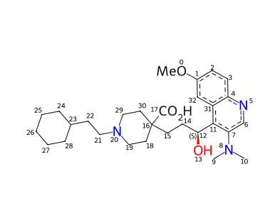 COc1ccc2ncc(N(C)C)c([C@@H](O)CCC3(C(=O)O)CCN(CCC4CCCCC4)CC3)c2c1